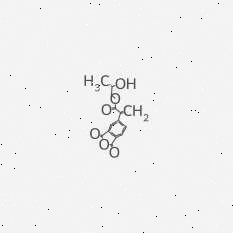 C=C(C(=O)OCC(C)O)c1ccc2c(c1)C(=O)OC2=O